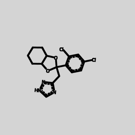 Clc1ccc(C2(Cc3nc[nH]n3)OC3CCCCC3O2)c(Cl)c1